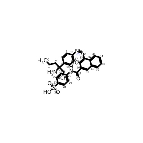 CCCC(N)(CC)c1ccc(/N=N\c2c(O)c(C(=O)Nc3ccc(S(=O)(=O)O)cc3)cc3ccccc23)cc1